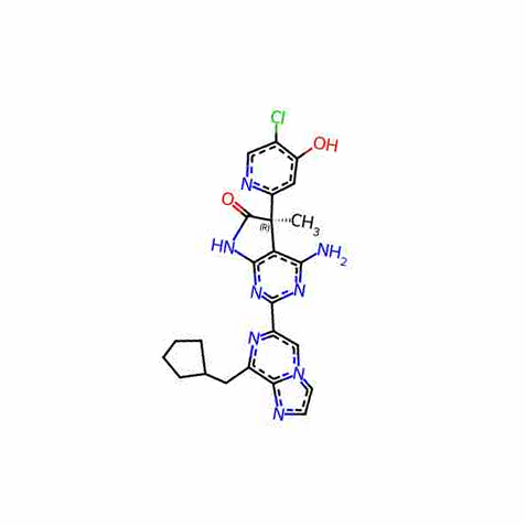 C[C@@]1(c2cc(O)c(Cl)cn2)C(=O)Nc2nc(-c3cn4ccnc4c(CC4CCCC4)n3)nc(N)c21